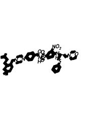 C=C(C)CCC1=C(CN2CCN(c3ccc(C(=O)NS(=O)(=O)c4ccc(N[C@H](CCN5CCOCC5)CSc5ccccc5)c([N+](=O)[O-])c4)cc3)CC2)CCC(C)(C)C1